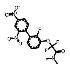 CN(C)C(=O)C(F)(F)Oc1cccc(-c2ccc([N+](=O)[O-])cc2[N+](=O)[O-])c1F